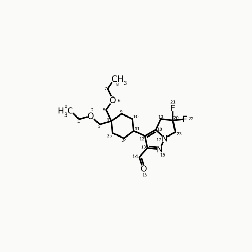 CCOCC1(COCC)CCC(c2c(C=O)nn3c2CC(F)(F)C3)CC1